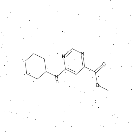 COC(=O)c1cc(NC2CCCCC2)ncn1